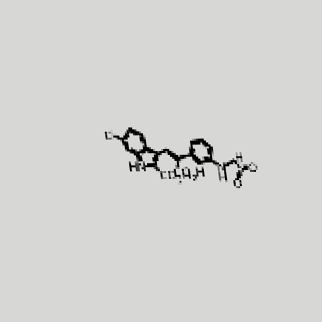 O=C(O)C(=Cc1c(C(=O)O)[nH]c2cc(Cl)ccc12)c1cccc(NC[SH](=O)=O)c1